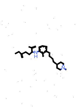 C=C(CC)CCC(Nc1cccc(CCCCC2CCN(C)CC2)c1C)C(=C)C